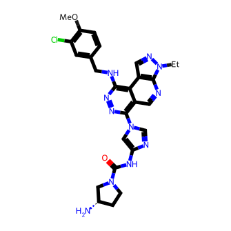 CCn1ncc2c3c(NCc4ccc(OC)c(Cl)c4)nnc(-n4cnc(NC(=O)N5CC[C@H](N)C5)c4)c3cnc21